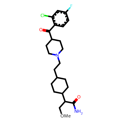 COCC(C(N)=O)C1CCC(CCN2CCC(C(=O)c3ccc(F)cc3Cl)CC2)CC1